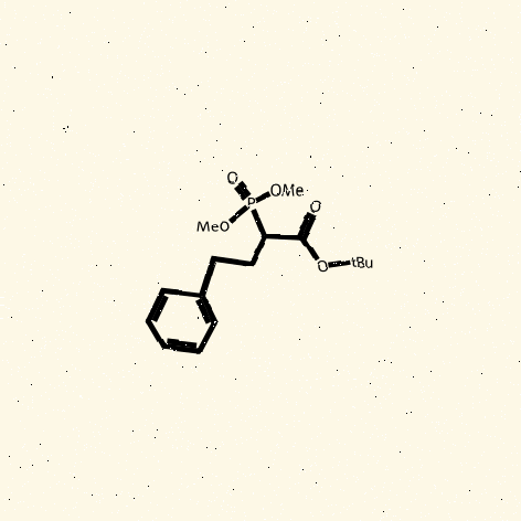 COP(=O)(OC)C(CCc1ccccc1)C(=O)OC(C)(C)C